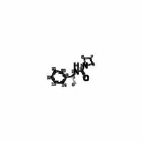 C[C@@H](NC(=O)N1CCC1)c1ccccc1